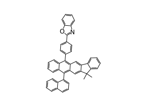 CC1(C)c2ccccc2-c2cc3c(-c4ccc(-c5nc6ccccc6o5)cc4)c4ccccc4c(-c4cccc5ccccc45)c3cc21